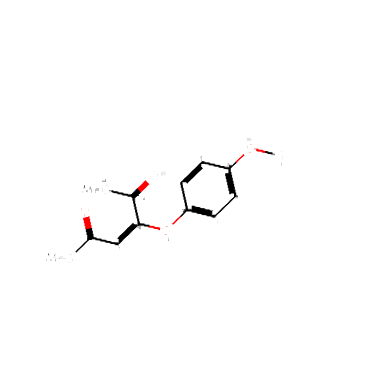 COC(=O)C=C(Oc1ccc(OC(F)(F)F)cc1)C(=O)OC